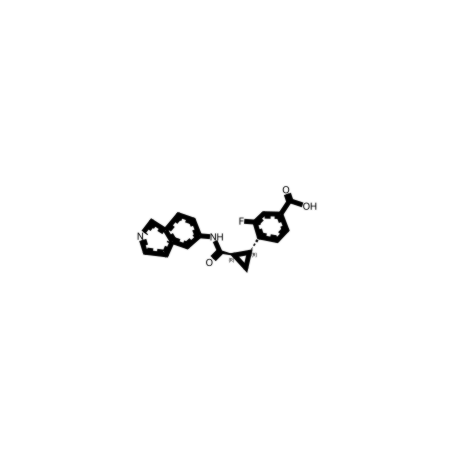 O=C(O)c1ccc([C@@H]2C[C@H]2C(=O)Nc2ccc3cnccc3c2)c(F)c1